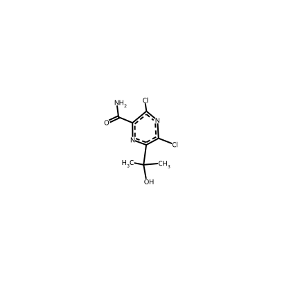 CC(C)(O)c1nc(C(N)=O)c(Cl)nc1Cl